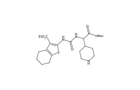 CCCCCCCCCC(=O)C(NC(=O)Nc1sc2c(c1C(=O)OCC)CCCC2)C1CCNCC1